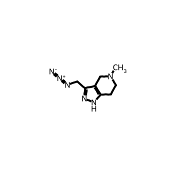 CN1CCc2[nH]nc(CN=[N+]=[N-])c2C1